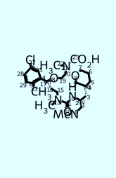 CNC[C@H](C[C@H]1CCCOC1)NC(=O)N(C)CC[C@@H](OCCN(C)C(=O)O)c1cc(Cl)ccc1C